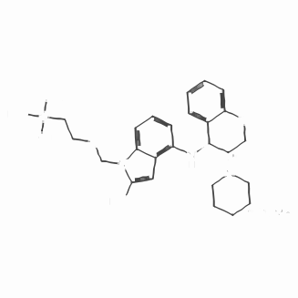 CO[C@@H]1CCCN([C@H]2COc3ccccc3[C@@H]2Nc2cccc3c2cc(C(F)(F)F)n3COCC[Si](C)(C)C)C1